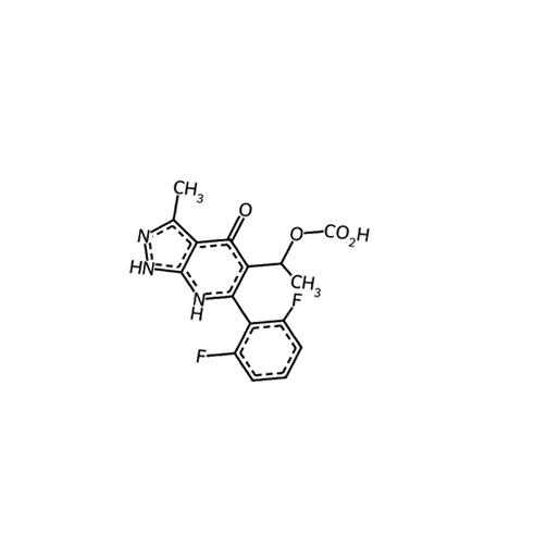 Cc1n[nH]c2[nH]c(-c3c(F)cccc3F)c(C(C)OC(=O)O)c(=O)c12